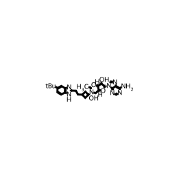 CC1O[C@H]2[C@@H](O)[C@H](n3cnc4c(N)ncnc43)O[C@@H]2CN1C1(O)CC(CCc2nc3cc(C(C)(C)C)ccc3[nH]2)C1